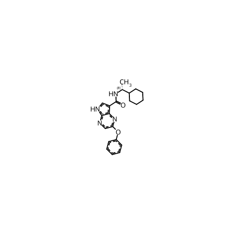 C[C@@H](NC(=O)c1c[nH]c2ncc(Oc3ccccc3)nc12)C1CCCCC1